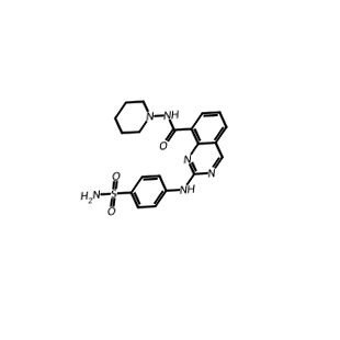 NS(=O)(=O)c1ccc(Nc2ncc3cccc(C(=O)NN4CCCCC4)c3n2)cc1